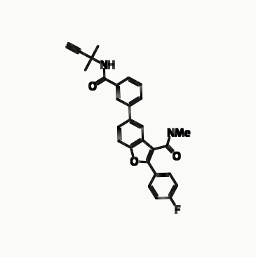 C#CC(C)(C)NC(=O)c1cccc(-c2ccc3oc(-c4ccc(F)cc4)c(C(=O)NC)c3c2)c1